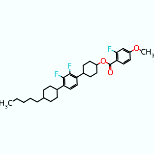 CCCCCC1CCC(c2ccc(C3CCC(OC(=O)c4ccc(OC)cc4F)CC3)c(F)c2F)CC1